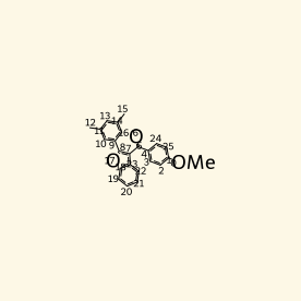 COc1ccc(C(=O)c2c(-c3cc(C)cc(C)c3)oc3ccccc23)cc1